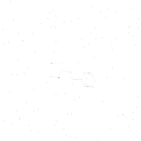 NC(=O)[C@H](CC(=O)O)NCc1ccccc1